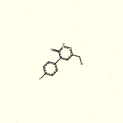 O=c1[nH]nc(CBr)cc1-c1ccc(F)cc1